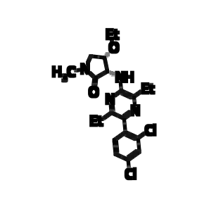 CCO[C@H]1CN(C)C(=O)[C@H]1Nc1nc(CC)c(-c2ccc(Cl)cc2Cl)nc1CC